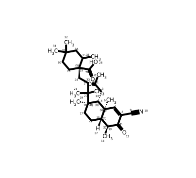 CC(=O)C[C@@H]1[C@@]2(C)C=C(C#N)C(=O)[C@@H](C)[C@@H]2CC[C@@]1(C)C(C)(C)CC[C@@]1(C(=O)O)CCC(C)(C)CC1C